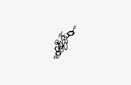 C[C@H](N(Cc1ccc(F)cc1)C(=O)CN1C(=O)O[C@]2(CCc3cc(Br)ccc32)C1=O)C(F)(F)F